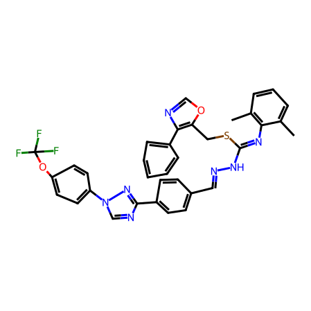 Cc1cccc(C)c1/N=C(/N/N=C/c1ccc(-c2ncn(-c3ccc(OC(F)(F)F)cc3)n2)cc1)SCc1ocnc1-c1ccccc1